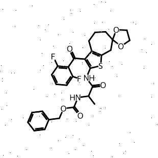 CC(NC(=O)OCc1ccccc1)C(=O)Nc1sc2c(c1C(=O)c1c(F)cccc1F)CCCC1(C2)OCCO1